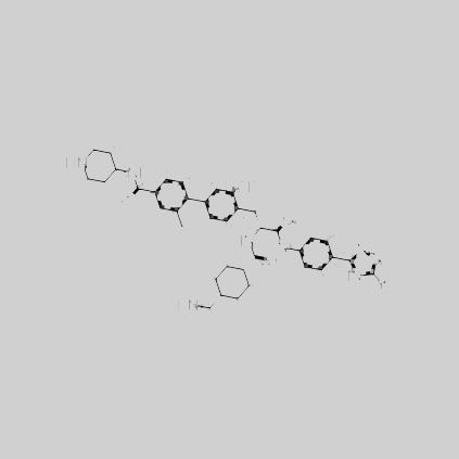 Cc1cc(C(=O)NC2CCNCC2)ccc1-c1ccc(C[C@H](NC(=O)[C@H]2CC[C@H](CN)CC2)C(=O)Nc2ccc(-c3nnc(Cl)[nH]3)cc2)cc1.Cl